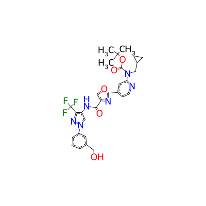 CC(C)(C)OC(=O)N(CC1CC1)c1cc(-c2nc(C(=O)Nc3cn(-c4cccc(CO)c4)nc3C(F)(F)F)co2)ccn1